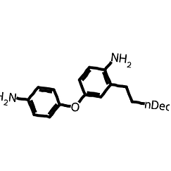 CCCCCCCCCCCCc1cc(Oc2ccc(N)cc2)ccc1N